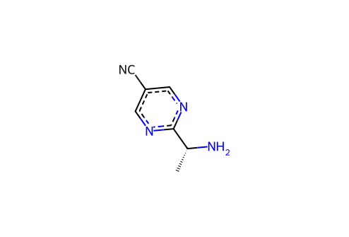 C[C@@H](N)c1ncc(C#N)cn1